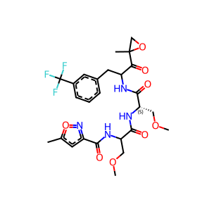 COCC(NC(=O)c1cc(C)on1)C(=O)N[C@@H](COC)C(=O)NC(Cc1cccc(C(F)(F)F)c1)C(=O)C1(C)CO1